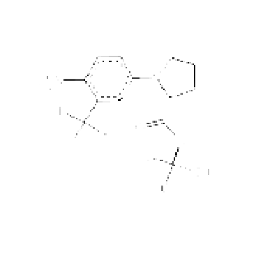 CC(C)(C)OC(=O)[C@H]1CCCN1c1ccc(N)c(C(F)(F)F)c1